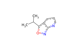 CC(C)c1onc2ncccc12